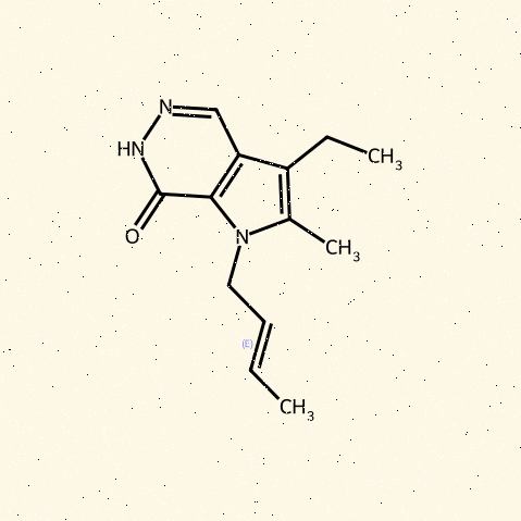 C/C=C/Cn1c(C)c(CC)c2cn[nH]c(=O)c21